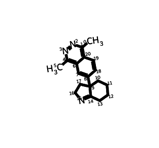 Cc1nnc(C)c2cc(C34CCCCC3=NCC4)ccc12